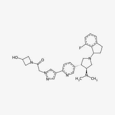 CN(C)[C@@H]1CN(C2CCc3cccc(F)c32)C[C@H]1c1ccc(-c2cnn(CC(=O)N3CC(O)C3)c2)nc1